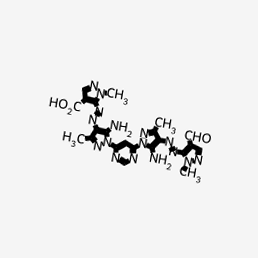 Cc1nn(-c2cc(-n3nc(C)c(N=Nc4c(C(=O)O)cnn4C)c3N)ncn2)c(N)c1N=Nc1c(C=O)cnn1C